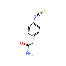 NC(=O)Cc1ccc(N=C=S)cc1